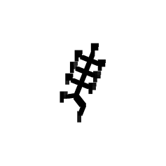 FC(=CI)C(F)(F)C(F)(F)C(F)(F)F